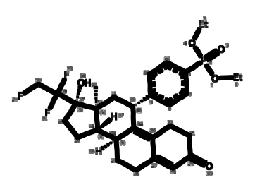 CCOP(=O)(OCC)c1ccc([C@H]2C[C@@]3(C)[C@@H](CC[C@@]3(O)C(F)(F)CF)[C@@H]3CCC4=CC(=O)CCC4=C32)cc1